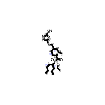 C=C/C=C\C(=C/C=C)P(=O)(OCC)C(=O)C(=C)/C=C\C(=C/CC)CSc1nnc(S)s1